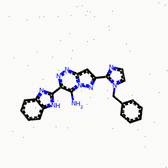 Nc1c(-c2nc3ccccc3[nH]2)nnc2cc(-c3nccn3Cc3ccccc3)nn12